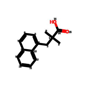 CC(C)(Cc1cccc2ccccc12)C(=O)O